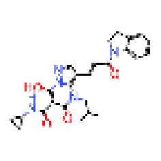 CC(C)Cn1c(=O)c(C(=O)NC2CC2)c(O)n2ncc(/C=C/C(=O)N3CCc4ccccc43)c12